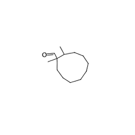 CC1CCCCCCCCC1(C)C=O